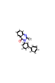 CCc1nc2ccccc2c(=O)n1-c1cccc(-c2ccccc2)c1